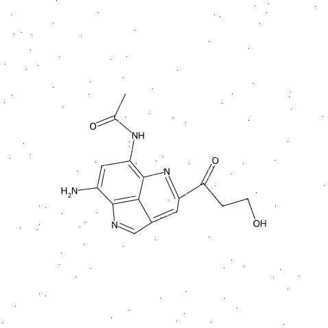 CC(=O)Nc1cc(N)c2c3c(cc(C(=O)CCO)nc13)C=N2